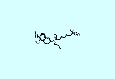 CCCN(C(=O)CCCCCC(=O)O)C1CCc2c(ccc(OC)c2OC)C1